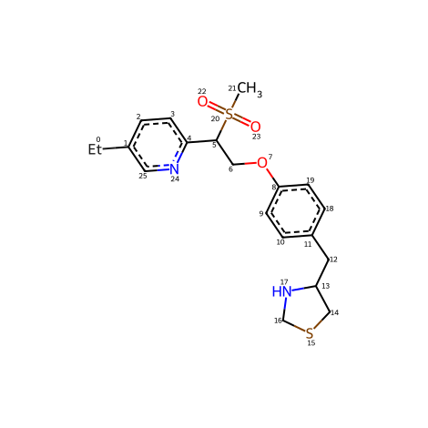 CCc1ccc(C(COc2ccc(CC3CSCN3)cc2)S(C)(=O)=O)nc1